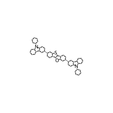 c1ccc(-n2c3ccccc3c3cc(-c4ccc5c(c4)oc4c6ccc(-c7ccc8c(c7)c7ccccc7n8-c7ccccc7)cc6sc54)ccc32)cc1